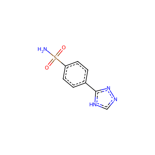 NS(=O)(=O)c1ccc(-c2nnc[nH]2)cc1